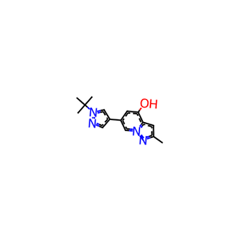 Cc1cc2c(O)cc(-c3cnn(C(C)(C)C)c3)cn2n1